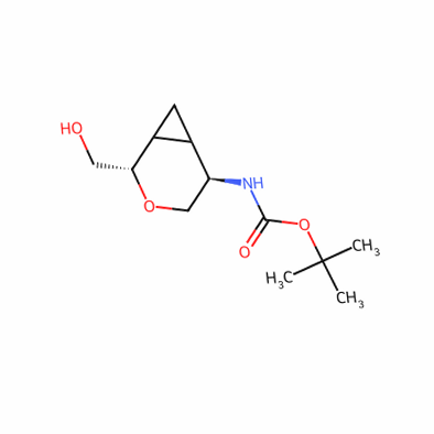 CC(C)(C)OC(=O)N[C@H]1CO[C@H](CO)C2CC21